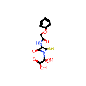 O=C(COc1ccccc1)NC1C(=O)N(C(O)C(=O)O)C1S